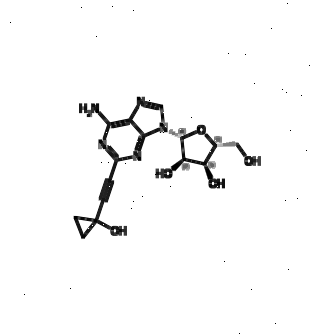 Nc1nc(C#CC2(O)CC2)nc2c1ncn2[C@@H]1O[C@H](CO)[C@@H](O)[C@H]1O